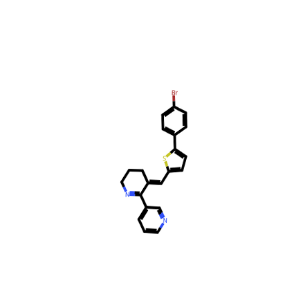 Brc1ccc(-c2ccc(C=C3CCCN=C3c3cccnc3)s2)cc1